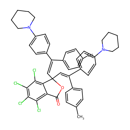 Cc1ccc(/C(=C\C2(/C=C(\c3ccc(C)cc3)c3ccc(N4CCCCC4)cc3)OC(=O)c3c(Cl)c(Cl)c(Cl)c(Cl)c32)c2ccc(N3CCCCC3)cc2)cc1